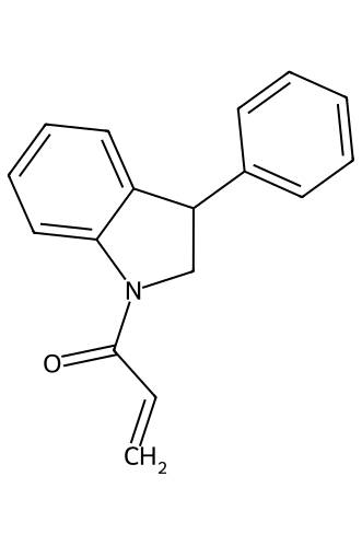 C=CC(=O)N1CC(c2ccccc2)c2ccccc21